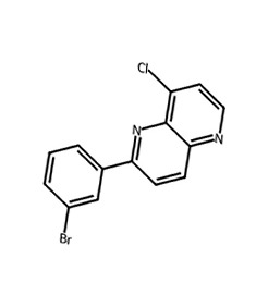 Clc1ccnc2ccc(-c3cccc(Br)c3)nc12